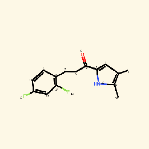 Cc1cc(C(=O)CCc2ccc(F)cc2F)[nH]c1C